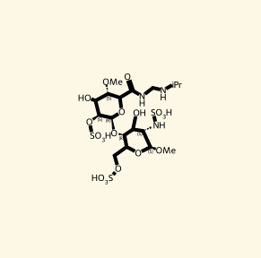 CO[C@@H]1C(C(=O)NCNC(C)C)O[C@@H](O[C@H]2C(COS(=O)(=O)O)O[C@H](OC)[C@@H](NS(=O)(=O)O)C2O)[C@@H](OS(=O)(=O)O)C1O